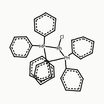 [Cl][Rh]([PH](c1ccccc1)(c1ccccc1)c1ccccc1)[PH](c1ccccc1)(c1ccccc1)c1ccccc1